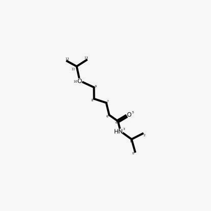 CC(C)NC(=O)CCCCOC(C)C